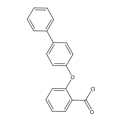 O=C(Cl)c1ccccc1Oc1ccc(-c2ccccc2)cc1